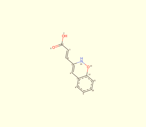 O=C(O)C=CC1=Cc2ccccc2ON1